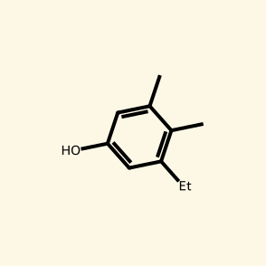 CCc1cc(O)cc(C)c1C